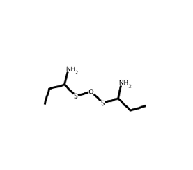 CCC(N)SOSC(N)CC